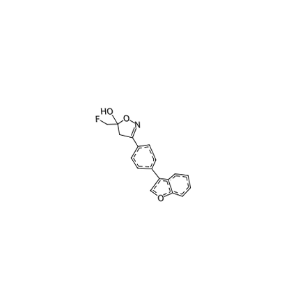 OC1(CF)CC(c2ccc(-c3coc4ccccc34)cc2)=NO1